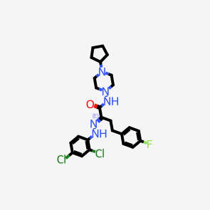 O=C(NN1CCN(C2CCCC2)CC1)/C(CCc1ccc(F)cc1)=N/Nc1ccc(Cl)cc1Cl